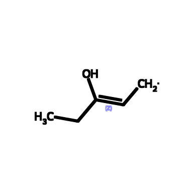 [CH2]/C=C(\O)CC